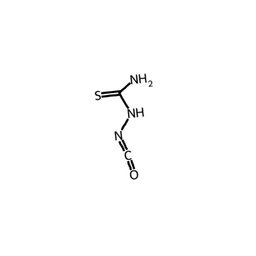 NC(=S)NN=C=O